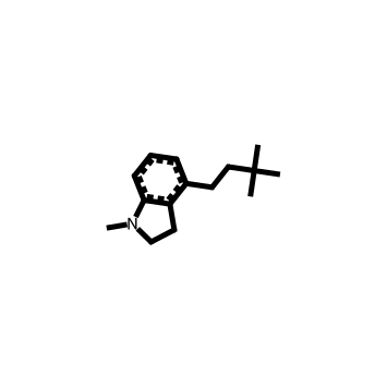 CN1CCc2c(CCC(C)(C)C)cccc21